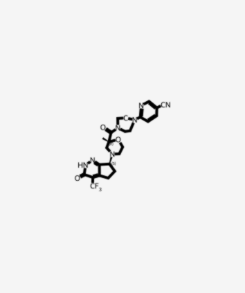 C[C@]1(C(=O)N2CCN(c3ccc(C#N)cn3)CC2)CN([C@H]2CCc3c2n[nH]c(=O)c3C(F)(F)F)CCO1